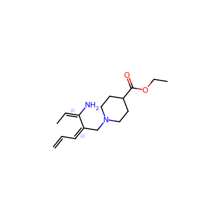 C=C/C=C(CN1CCC(C(=O)OCC)CC1)\C(N)=C/C